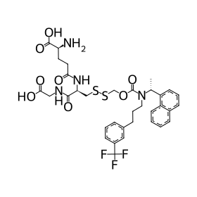 C[C@H](c1cccc2ccccc12)N(CCCc1cccc(C(F)(F)F)c1)C(=O)OCSSC[C@H](NC(=O)CC[C@H](N)C(=O)O)C(=O)NCC(=O)O